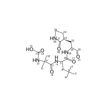 CC(C)(C)CC(NC(=O)C(C)(C)NC(=O)O)C(=O)NC(C=O)C[C@@H]1CCNC1=O